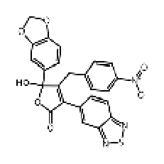 O=C1OC(O)(c2ccc3c(c2)OCO3)C(Cc2ccc([N+](=O)[O-])cc2)=C1c1ccc2nsnc2c1